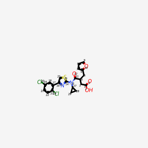 O=C(O)CC(Cc1ccco1)C(=O)N(c1nc(-c2cc(Cl)ccc2Cl)cs1)C1CC1